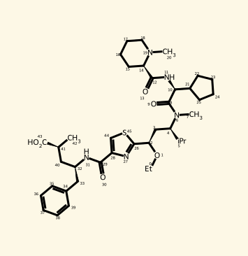 CCO[C@H](C[C@H](C(C)C)N(C)C(=O)[C@@H](NC(=O)[C@H]1CCCCN1C)C1CCCC1)c1nc(C(=O)N[C@@H](Cc2ccccc2)C[C@H](C)C(=O)O)cs1